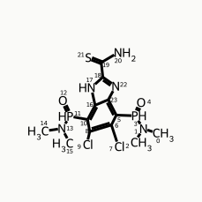 CN(C)[PH](=O)c1c(Cl)c(Cl)c([PH](=O)N(C)C)c2[nH]c(C(N)=S)nc12